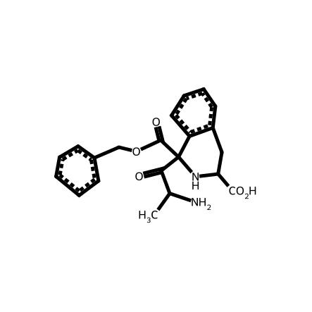 CC(N)C(=O)C1(C(=O)OCc2ccccc2)NC(C(=O)O)Cc2ccccc21